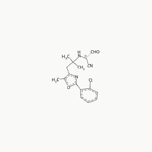 Cc1oc(-c2ccccc2Cl)nc1CC(C)(C)N[C@H]([C]=O)C#N